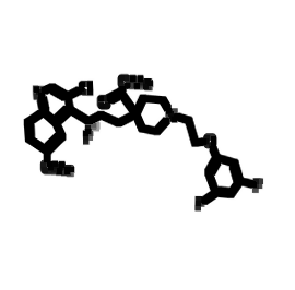 COC(=O)C1(CC[C@H](F)c2c(Cl)cnc3ccc(OC)cc23)CCN(CCOc2cc(F)cc(F)c2)CC1